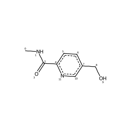 CNC(=O)c1ccc(CO)cn1